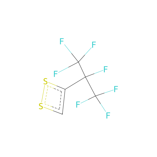 FC(F)(F)C(F)(c1css1)C(F)(F)F